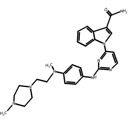 CN1CCN(CCN(C)c2ccc(Nc3nccc(-n4cc(C(N)=O)c5ccccc54)n3)cc2)CC1